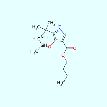 CCCCOC(=O)c1c[nH]c(C(C)(C)C)c1O[SiH](C)C